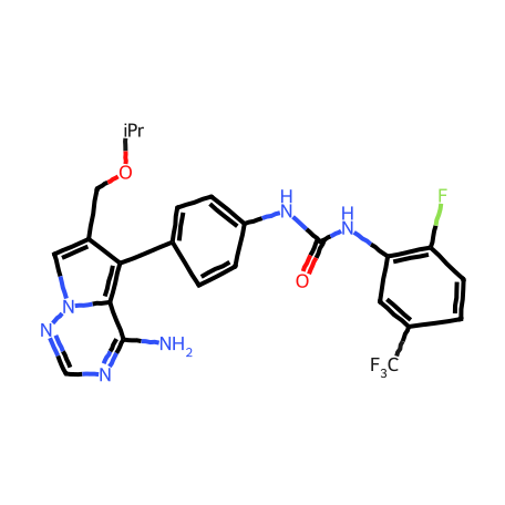 CC(C)OCc1cn2ncnc(N)c2c1-c1ccc(NC(=O)Nc2cc(C(F)(F)F)ccc2F)cc1